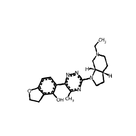 CCN1CC[C@@H]2CCN(c3nnc(-c4ccc5c(c4O)CCO5)c(C)n3)[C@@H]2C1